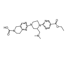 CCOC(=O)c1cnc(N2CCN(c3ncc4c(n3)CCN(C(=O)O)C4)CC2CN(C)C)nc1